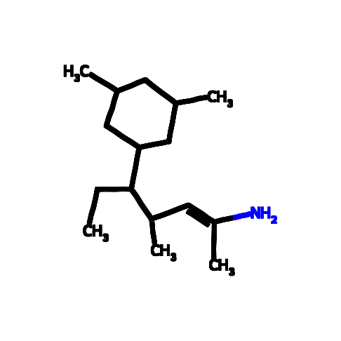 CCC(C(C)/C=C(\C)N)C1CC(C)CC(C)C1